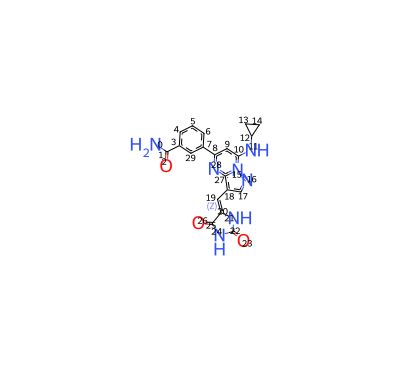 NC(=O)c1cccc(-c2cc(NC3CC3)n3ncc(/C=C4\NC(=O)NC4=O)c3n2)c1